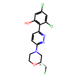 Oc1cc(Cl)cc(Cl)c1-c1ccc(N2CCO[C@@H](CF)C2)nn1